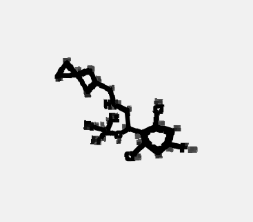 CC[Si](CC)(CC)OC(CNCC1CC2(CC2)C1)c1c(Cl)cc(F)cc1Cl